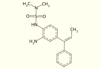 CC=C(c1ccccc1)c1ccc(NS(=O)(=O)N(C)C)c(N)c1